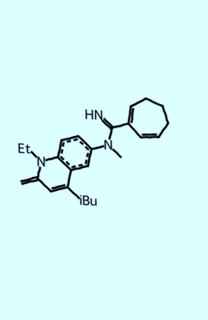 C=C1C=C(C(C)CC)c2cc(N(C)C(=N)C3=CCCCC=C3)ccc2N1CC